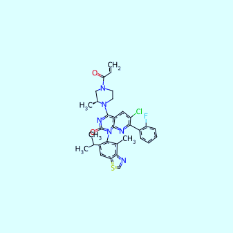 C=CC(=O)N1CCN(c2nc(=O)n(-c3c(C(C)C)cc4scnc4c3C)c3nc(-c4ccccc4F)c(Cl)cc23)[C@@H](C)C1